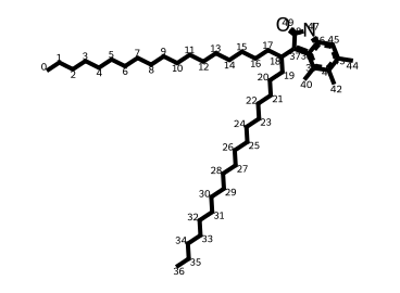 CCCCCCCCCCCCCCCCCCC(CCCCCCCCCCCCCCCCCC)C1=c2c(C)c(C)c(C)cc2=NC1=O